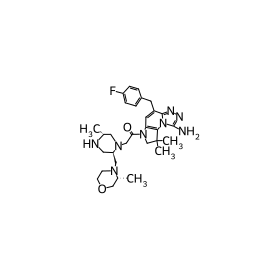 C[C@@H]1CN(CC(=O)N2CC(C)(C)c3c2cc(Cc2ccc(F)cc2)c2nnc(N)n32)[C@@H](CN2CCOC[C@H]2C)CN1